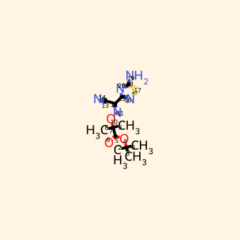 CC(C)(C)OC(=O)C(C)(C)ON=C(C#N)c1nsc(N)n1